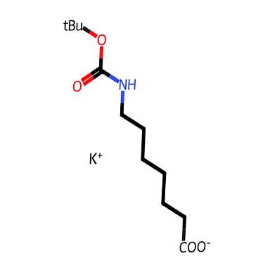 CC(C)(C)OC(=O)NCCCCCCC(=O)[O-].[K+]